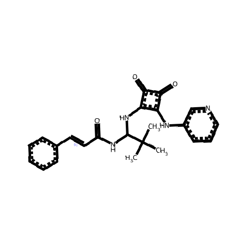 CC(C)(C)C(NC(=O)/C=C/c1ccccc1)Nc1c(Nc2cccnc2)c(=O)c1=O